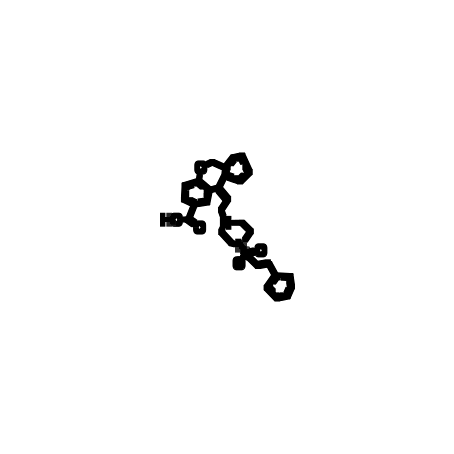 O=C(O)c1ccc2c(c1)/C(=C\CN1CCN(S(=O)(=O)/C=C/c3ccccc3)CC1)c1ccccc1CO2